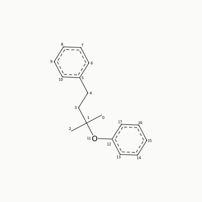 CC(C)(CCc1ccccc1)Oc1ccccc1